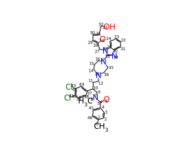 Cc1ccc(C(=O)N(C)CC(CCN2CCCN(c3nc4ccccc4n3Cc3ccc(CO)o3)CC2)c2ccc(Cl)c(Cl)c2)cc1